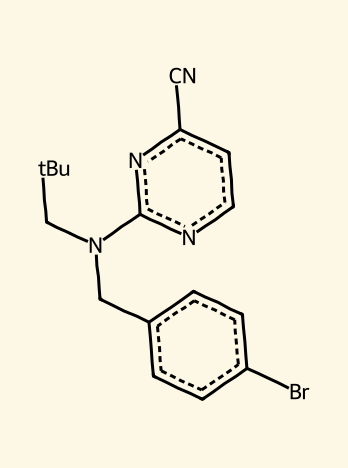 CC(C)(C)CN(Cc1ccc(Br)cc1)c1nccc(C#N)n1